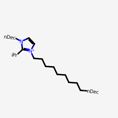 CCCCCCCCCCCCCCCCCCC[n+]1ccn(CCCCCCCCCC)c1C(C)C